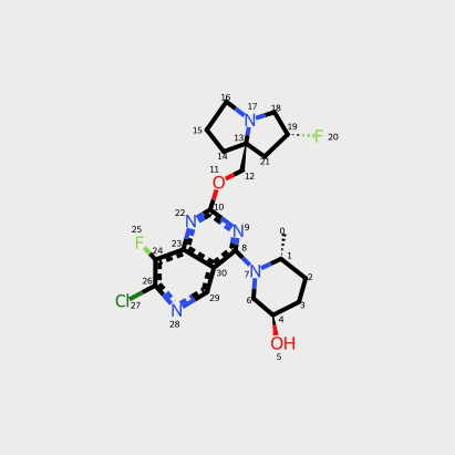 C[C@@H]1CC[C@@H](O)CN1c1nc(OC[C@@]23CCCN2C[C@H](F)C3)nc2c(F)c(Cl)ncc12